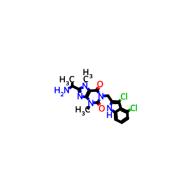 CC(N)c1nc2c(c(=O)n(Cc3[nH]c4cccc(Cl)c4c3Cl)c(=O)n2C)n1C